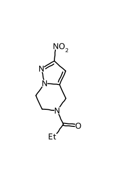 CCC(=O)N1CCn2nc([N+](=O)[O-])cc2C1